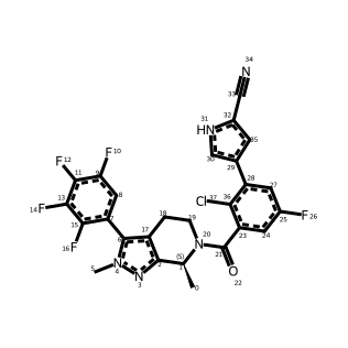 C[C@H]1c2nn(C)c(-c3cc(F)c(F)c(F)c3F)c2CCN1C(=O)c1cc(F)cc(-c2c[nH]c(C#N)c2)c1Cl